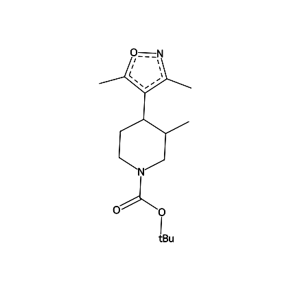 Cc1noc(C)c1C1CCN(C(=O)OC(C)(C)C)CC1C